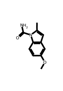 COc1[c]cc2c(c1)cc(C)n2C(N)=O